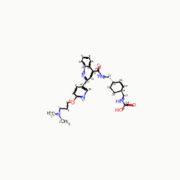 CN(C)CCCOc1ccc(-c2cc(C(=O)NC[C@H]3CC[C@H](CNC(=O)O)CC3)c3ccccc3n2)cn1